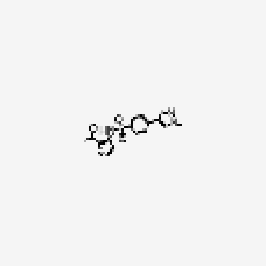 CC(=O)c1sccc1NS(=O)(=O)c1ccc(-c2cnn(C)c2)cc1